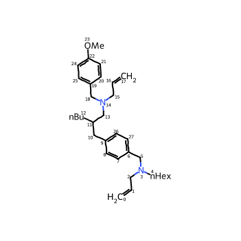 C=CCN(CCCCCC)Cc1ccc(CC(CCCC)CN(CC=C)Cc2ccc(OC)cc2)cc1